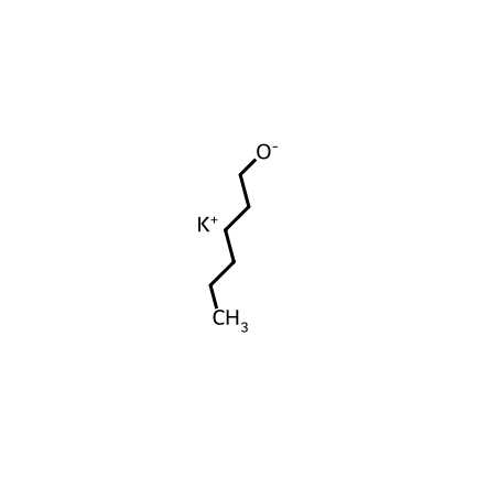 CCCCCC[O-].[K+]